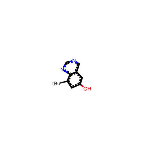 CC(C)(C)c1cc(O)cc2cncnc12